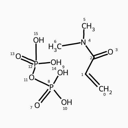 C=CC(=O)N(C)C.O=P(O)(O)OP(=O)(O)O